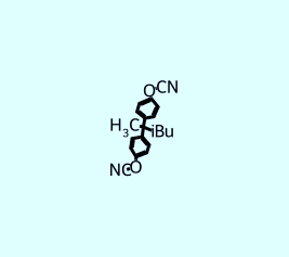 CCC(C)C(C)(c1ccc(OC#N)cc1)c1ccc(OC#N)cc1